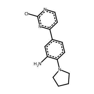 Nc1cc(-c2ccnc(Cl)n2)ccc1N1CCCC1